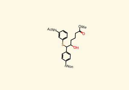 CCCCCCCCCc1ccc(C(Sc2cccc(NC(C)=O)c2)C(O)CCCC(=O)OC)cc1